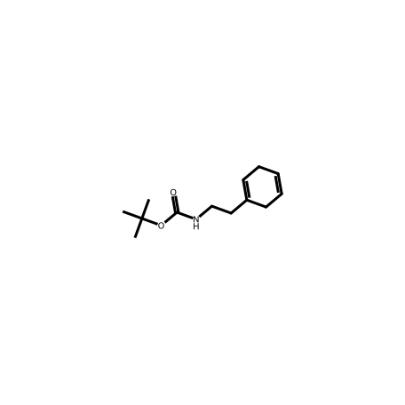 CC(C)(C)OC(=O)NCCC1=CCC=CC1